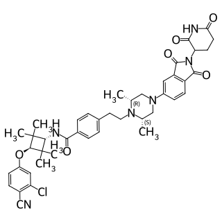 C[C@@H]1CN(c2ccc3c(c2)C(=O)N(C2CCC(=O)NC2=O)C3=O)C[C@H](C)N1CCc1ccc(C(=O)N[C@H]2C(C)(C)[C@H](Oc3ccc(C#N)c(Cl)c3)C2(C)C)cc1